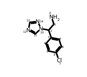 NCC(c1ccc(Cl)cc1)n1cncn1